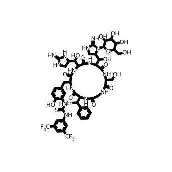 CCC(c1ccccc1)C1NC(=O)CNC(=O)C(CO)NC(=O)C(C(O)C2CNC(=N)N2C2OC(CO)C(O)C(O)C2O)NC(=O)C(C(O)C2CNC(=N)N2)NC(=O)C(Cc2ccc(O)c(NC(=S)Nc3cc(C(F)(F)F)cc(C(F)(F)F)c3)c2)NC1=O